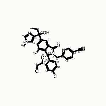 CCC(O)(c1cc(F)c2c(c1)C(=O)N(Cc1ccc(C#N)cn1)[C@@]2(OCCO)c1ccc(Cl)cc1)c1cn(C)cn1